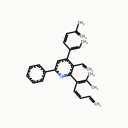 C=C/C=C\C(=C(C)C)c1nc(-c2ccccc2)cc(C(/C=C\C(=C)C)=C/C)c1C=C